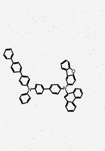 c1ccc(-c2ccc(-c3ccc(N(c4ccccc4)c4ccc(-c5ccc(N(c6ccc7oc8ccccc8c7c6)c6cc7ccccc7c7ccccc67)cc5)cc4)cc3)cc2)cc1